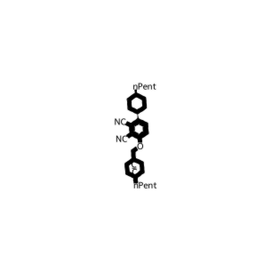 CCCCCC12CCC(COc3ccc([C@H]4CC[C@H](CCCCC)CC4)c(C#N)c3C#N)(CC1)CC2